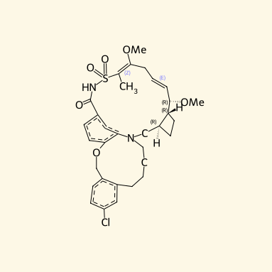 CO/C1=C(/C)S(=O)(=O)NC(=O)c2ccc3c(c2)N(CCCCc2cc(Cl)ccc2CO3)C[C@@H]2CC[C@H]2[C@@H](OC)/C=C/C1